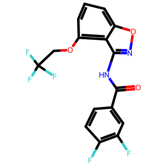 O=C(Nc1noc2cccc(OCC(F)(F)F)c12)c1ccc(F)c(F)c1